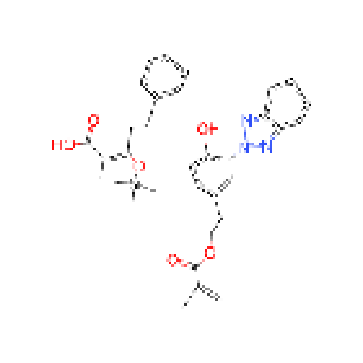 C=C(C)C(=O)OCCc1ccc(O)c(-n2nc3ccccc3n2)c1.CC(C(=O)O)=C(CCc1ccccc1)O[Si](C)(C)C